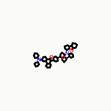 c1ccc(-c2ccccc2N(c2ccc(-c3ccc4c(c3)oc3c5ccc(N(c6ccccc6)c6ccccc6)cc5c5ccccc5c43)cc2)c2cccc3c2oc2ccccc23)cc1